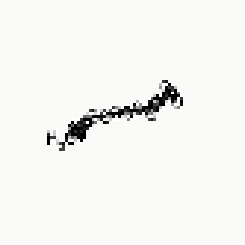 Cc1nnc(-c2ccc(OCCOCCOCCOCCOCCC(=O)N3CCN(CCN4C(=O)C=CC4=O)CC3)cc2)nn1